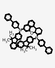 CC1(C)c2ccccc2-c2ccc(N(C3=CCCC4c5cccc6cc(N(c7ccc8c(c7)C(C)(C)c7ccccc7-8)C7C=CC(c8ccccc8)=CC7)cc(c56)OC34)c3ccc(-c4ccccc4)cc3)cc21